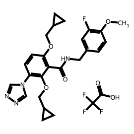 COc1ccc(CNC(=O)c2c(OCC3CC3)ccc(-n3cnnc3)c2OCC2CC2)cc1F.O=C(O)C(F)(F)F